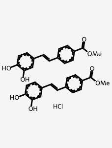 COC(=O)c1ccc(C=Cc2ccc(O)c(O)c2)cc1.COC(=O)c1ccc(C=Cc2ccc(O)c(O)c2)cc1.Cl